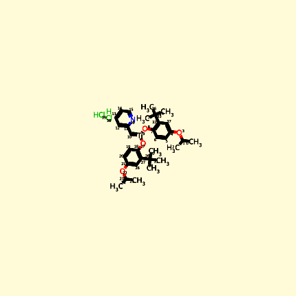 CC(C)Oc1ccc([O][Ti](=[CH]c2ccccn2)[O]c2ccc(OC(C)C)cc2C(C)(C)C)c(C(C)(C)C)c1.Cl.Cl